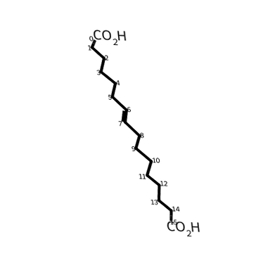 O=C(O)CCCCC/C=C/CCCCCCCC(=O)O